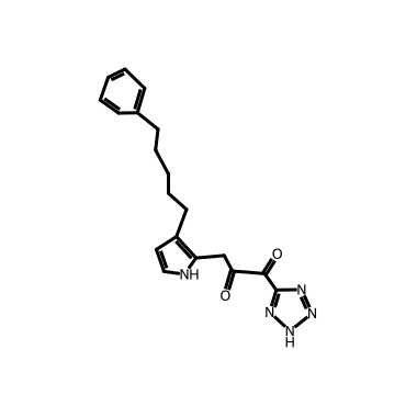 O=C(Cc1[nH]ccc1CCCCCc1ccccc1)C(=O)c1nn[nH]n1